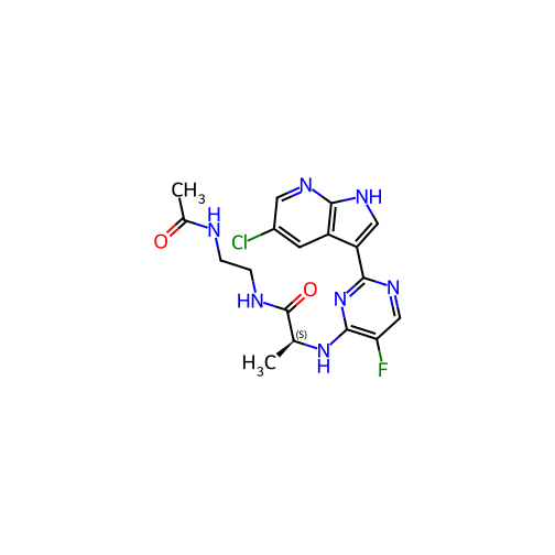 CC(=O)NCCNC(=O)[C@H](C)Nc1nc(-c2c[nH]c3ncc(Cl)cc23)ncc1F